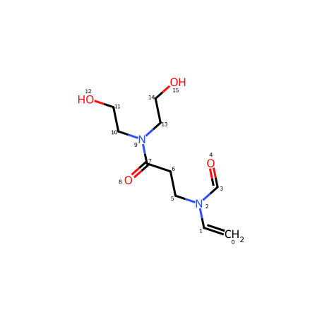 C=CN(C=O)CCC(=O)N(CCO)CCO